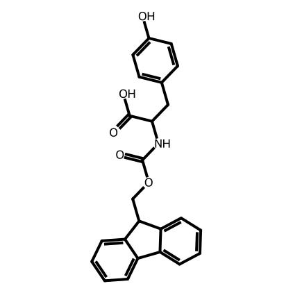 O=C(NC(Cc1ccc(O)cc1)C(=O)O)OCC1c2ccccc2-c2ccccc21